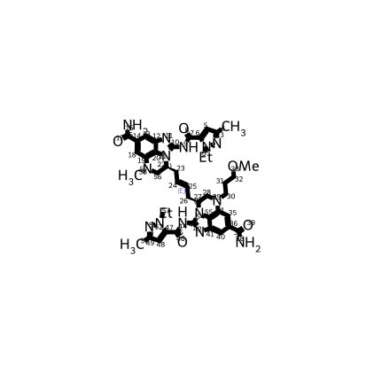 CCn1nc(C)cc1C(=O)Nc1nc2cc(C(N)=O)cc3c2n1[C@@H](C/C=C/C[C@H]1CN(CCCOC)c2cc(C(N)=O)cc4nc(NC(=O)c5cc(C)nn5CC)n1c24)CN3C